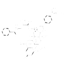 CC(CNC(=O)c1ccccc1)C(=O)OCC[C@@]12OC(c3ccc(N(C)C)cc3)O[C@@H]1C[C@H]1[C@@H]3C[C@H](F)C4=CC(=O)C=C[C@]4(C)[C@@]3(F)[C@@H](O)C[C@@]12C